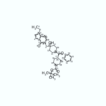 CCn1ccc2c(=O)n(CC3(O)CCN(C(=O)[C@@H]4CCN(C(=O)OC(C)(C)C)C[C@H]4c4ccccc4)CC3)cnc21